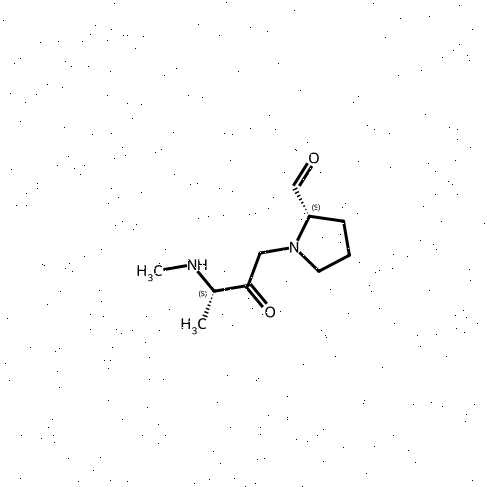 CN[C@@H](C)C(=O)CN1CCC[C@H]1C=O